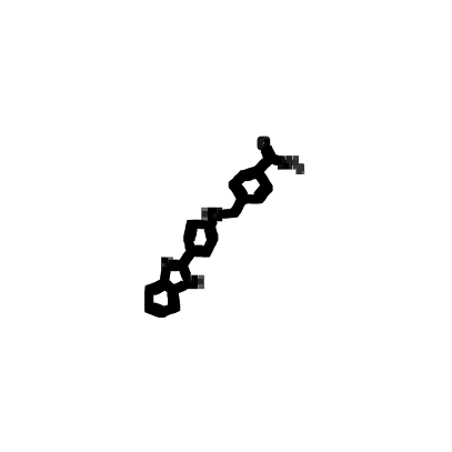 NC(=O)c1ccc(CNc2ccc(-c3nc4ccccc4[nH]3)cc2)cc1